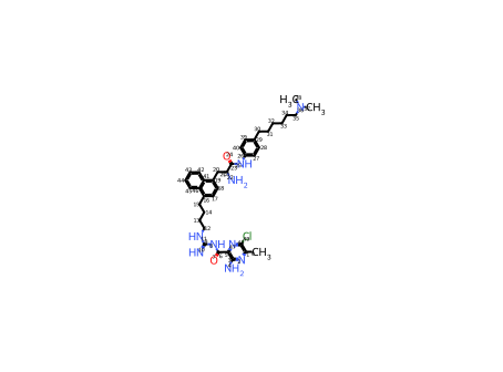 Cc1nc(N)c(C(=O)NC(=N)NCCCCc2ccc(C[C@H](N)C(=O)Nc3ccc(CCCCCCN(C)C)cc3)c3ccccc23)nc1Cl